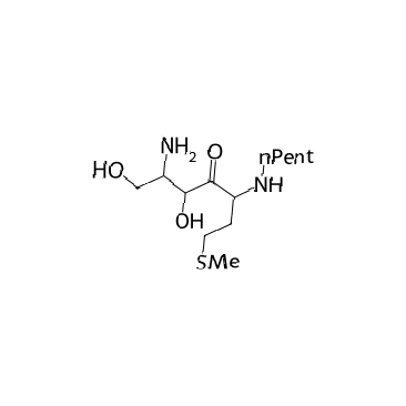 CCCCCNC(CCSC)C(=O)C(O)C(N)CO